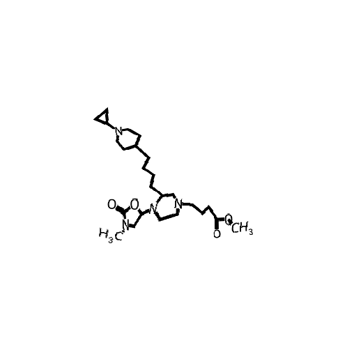 COC(=O)CCCN1CCN(C2CN(C)C(=O)O2)C(CCCCC2CCN(C3CC3)CC2)C1